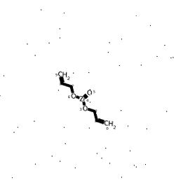 C=CC[O][Zr](=[O])[O]CC=C